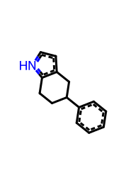 c1ccc(C2CCc3[nH]ccc3C2)cc1